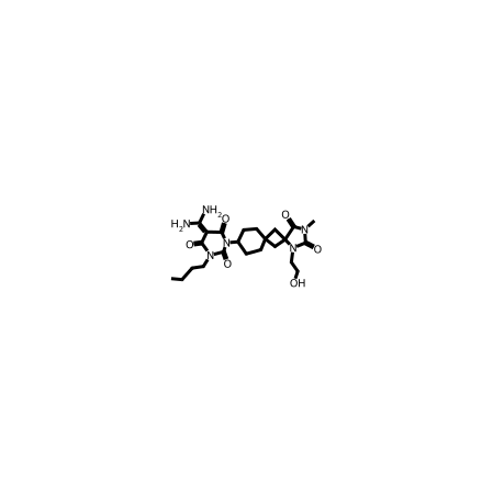 CCCCN1C(=O)C(=C(N)N)C(=O)N(C2CCC3(CC2)CC2(C3)C(=O)N(C)C(=O)N2CCO)C1=O